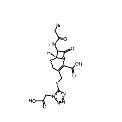 O=C(O)Cn1nnnc1SCC1=C(C(=O)O)N2C(=O)C(NC(=O)CBr)[C@H]2SC1